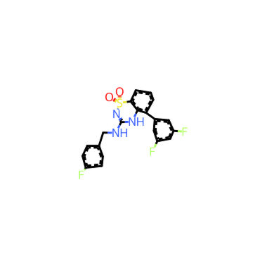 O=S1(=O)N=C(NCc2ccc(F)cc2)Nc2c(-c3cc(F)cc(F)c3)cccc21